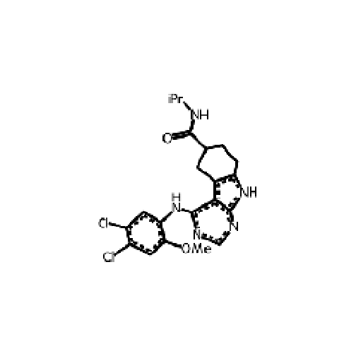 COc1cc(Cl)c(Cl)cc1Nc1ncnc2[nH]c3c(c12)CC(C(=O)NC(C)C)CC3